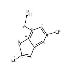 CCc1cc2cc(Cl)cc(CO)c2o1